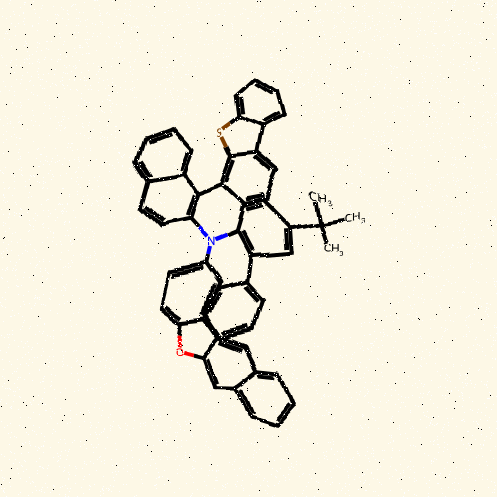 CC(C)(C)c1ccc(N(c2ccc3oc4cc5ccccc5cc4c3c2)c2ccc3ccccc3c2-c2cccc3c2sc2ccccc23)c(-c2ccccc2)c1